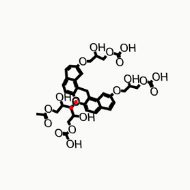 CC(=O)OCC(O)COc1ccc2ccc(OCC(O)COC(=O)O)cc2c1Cc1c(OCC(O)COC(=O)O)ccc2ccc(OCC(O)COC(=O)O)cc12